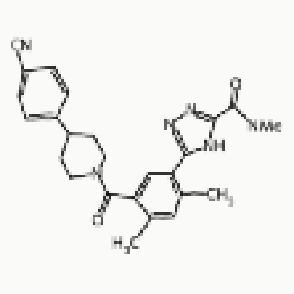 CNC(=O)c1nnc(-c2cc(C(=O)N3CCC(c4ccc(C#N)cc4)CC3)c(C)cc2C)[nH]1